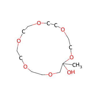 CC1(O)COCCOCCOCCOCCOCCO1